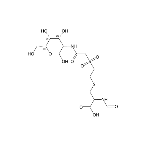 O=CNC(CSCCS(=O)(=O)CC(=O)NC1C(O)O[C@H](CO)[C@H](O)[C@@H]1O)C(=O)O